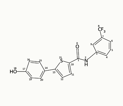 O=C(Nc1cccc(C(F)(F)F)c1)c1ccc(-c2ccc(O)cc2)s1